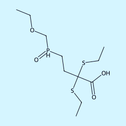 CCOC[PH](=O)CCC(SCC)(SCC)C(=O)O